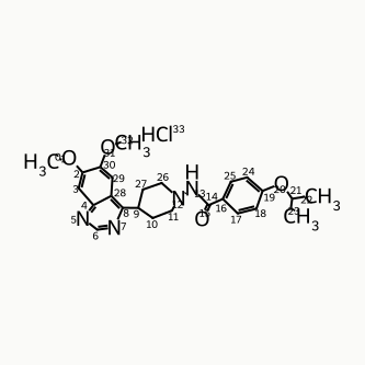 COc1cc2ncnc(C3CCN(NC(=O)c4ccc(OC(C)C)cc4)CC3)c2cc1OC.Cl